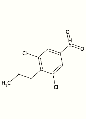 C[CH]Cc1c(Cl)cc([SH](=O)=O)cc1Cl